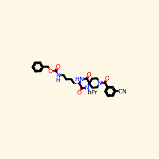 CCCN1C(=O)[C@H](CCCCNC(=O)OCc2ccccc2)NC(=O)C12CCN(C(=O)c1cccc(C#N)c1)CC2